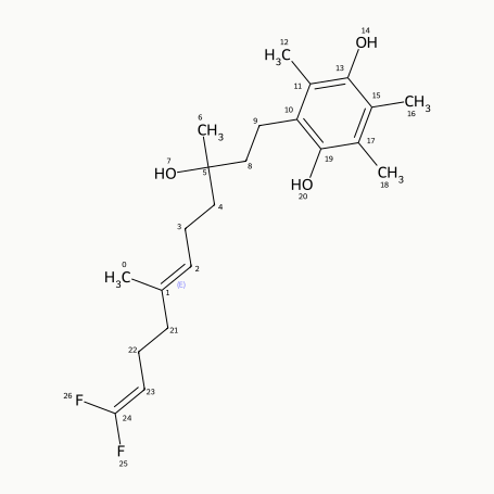 C/C(=C\CCC(C)(O)CCc1c(C)c(O)c(C)c(C)c1O)CCC=C(F)F